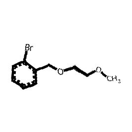 COCCOCc1ccccc1Br